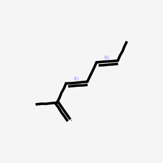 [CH]=C(C)/C=C/C=C/C